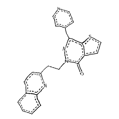 O=c1c2ccsc2c(-c2ccncc2)nn1CCc1ccc2ccccc2n1